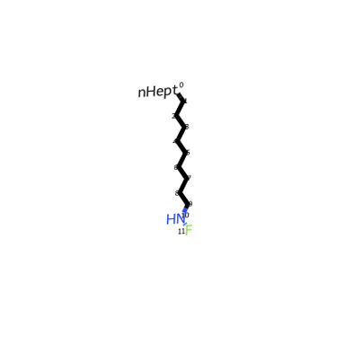 CCCCCCCCCCCCCCCCNF